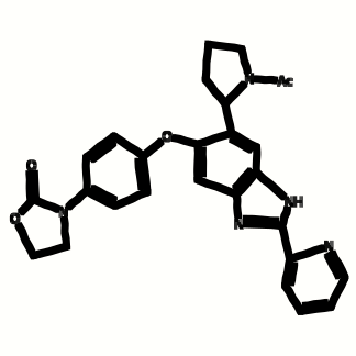 CC(=O)N1CCCC1c1cc2[nH]c(-c3ccccn3)nc2cc1Oc1ccc(N2CCOC2=O)cc1